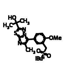 CC[C@H](C)S(=O)(=O)Cc1cc(-c2c(C)nc3sc(C(C)(C)O)nn23)ccc1OC